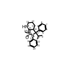 CC(C)C(c1ccccc1)(C1CCCNC1)N(c1ccccc1)S(C)(=O)=O